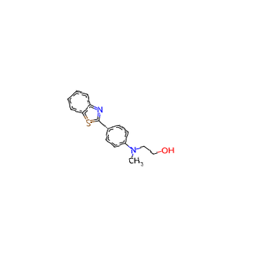 CN(CCO)c1ccc(-c2nc3ccccc3s2)cc1